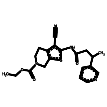 CCOC(=O)N1CCc2c(sc(NC(=O)CC(C)c3cccnc3)c2C#N)C1